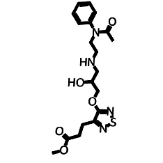 COC(=O)CCc1nsnc1OCC(O)CNCCN(C(C)=O)c1ccccc1